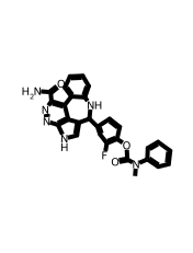 CN(C(=O)Oc1ccc(C2Nc3ccccc3-c3c(C(N)=O)nnc4[nH]cc2c34)cc1F)c1ccccc1